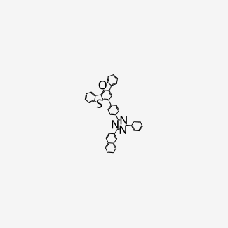 c1ccc(-c2nc(-c3ccc(-c4cc5c6ccccc6oc5c5c4sc4ccccc45)cc3)nc(-c3ccc4ccccc4c3)n2)cc1